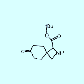 CC(C)(C)OC(=O)C1NCC12CCC(=O)CC2